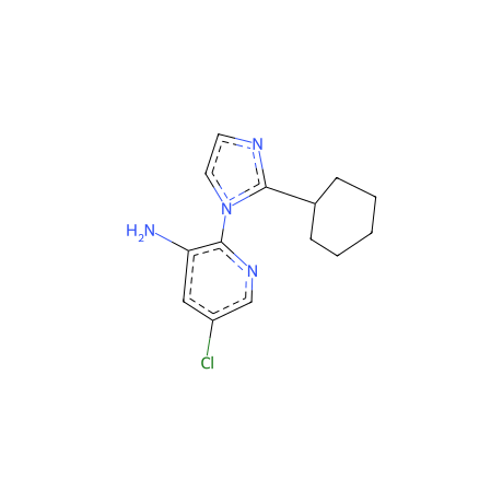 Nc1cc(Cl)cnc1-n1ccnc1C1CCCCC1